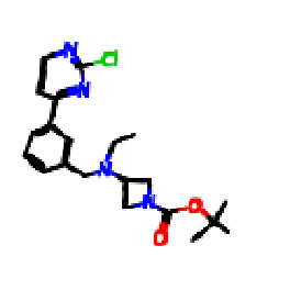 CCN(Cc1cccc(-c2ccnc(Cl)n2)c1)C1CN(C(=O)OC(C)(C)C)C1